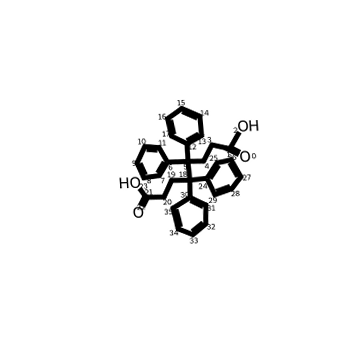 O=C(O)CCC(c1ccccc1)(c1ccccc1)C(CCC(=O)O)(c1ccccc1)c1ccccc1